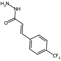 NNC(=O)C=Cc1ccc(C(F)(F)F)cc1